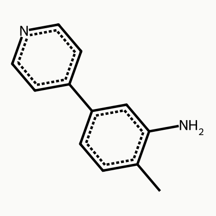 Cc1ccc(-c2ccncc2)cc1N